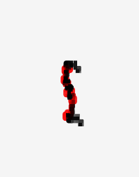 C=CC(=O)OCCCCCOc1ccc(-c2ccc(OC(=O)c3ccc(OCCCCCCCCC4CC(=C)C(=O)O4)cc3)cc2)cc1